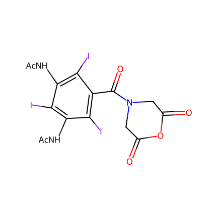 CC(=O)Nc1c(I)c(NC(C)=O)c(I)c(C(=O)N2CC(=O)OC(=O)C2)c1I